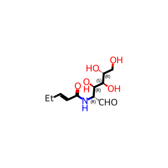 CCC=CC(=O)N[C@@H](C=O)[C@@H](O)[C@H](O)[C@H](O)CO